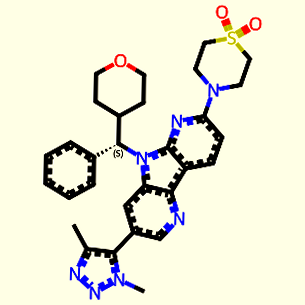 Cc1nnn(C)c1-c1cnc2c3ccc(N4CCS(=O)(=O)CC4)nc3n([C@H](c3ccccc3)C3CCOCC3)c2c1